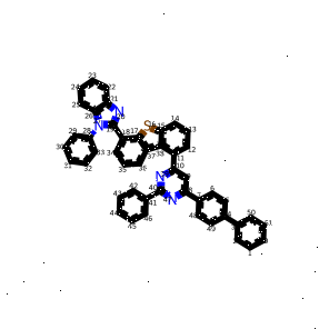 c1ccc(-c2ccc(-c3cc(-c4cccc5sc6c(-c7nc8ccccc8n7-c7ccccc7)cccc6c45)nc(-c4ccccc4)n3)cc2)cc1